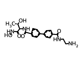 C[C@@H](O)C(NC(=O)c1ccc(-c2ccc(C(=O)NCCN)cc2)cc1)C(=O)NO